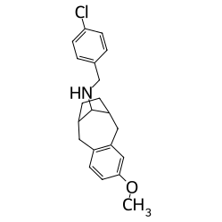 COc1ccc2c(c1)CC1CCC(C2)C1NCc1ccc(Cl)cc1